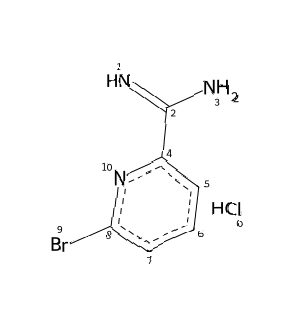 Cl.N=C(N)c1cccc(Br)n1